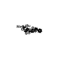 COC(CC(C)(C)C)C(=O)N1CC(=O)C2C1CCN2C(=O)C(CC(C)C)NC(=O)Oc1ccc(-c2ccccc2)s1